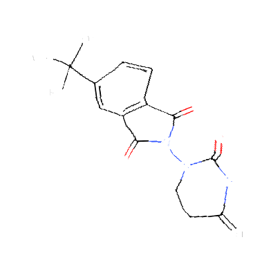 C=C1CCN(N2C(=O)c3ccc(C(C)(C)C)cc3C2=O)C(=O)N1